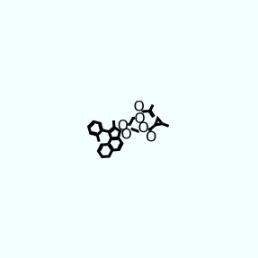 C=C(C)C(=O)OCCOC1(OCCOC(=O)C2CC2C)C(C)=C(c2ccccc2C)c2c1ccc1c2C=CCC1